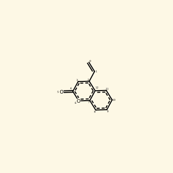 C=Cc1cc(=O)oc2ccccc12